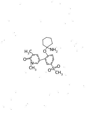 Cc1cc(-c2cc(S(C)(=O)=O)ccc2OC2(N)CCCCC2)cn(C)c1=O